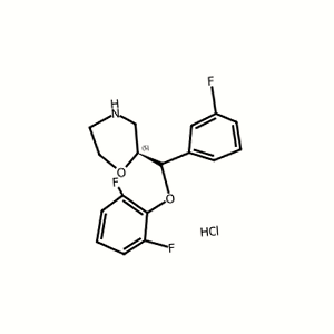 Cl.Fc1cccc(C(Oc2c(F)cccc2F)[C@@H]2CNCCO2)c1